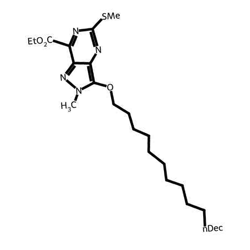 CCCCCCCCCCCCCCCCCCCCOc1c2nc(SC)nc(C(=O)OCC)c2nn1C